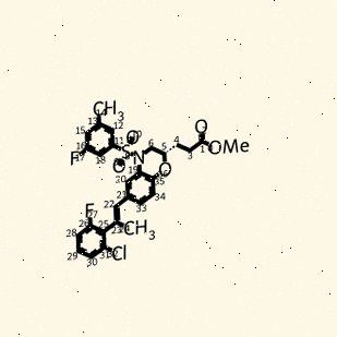 COC(=O)CC[C@H]1CN(S(=O)(=O)c2cc(C)cc(F)c2)c2cc(/C=C(\C)c3c(F)cccc3Cl)ccc2O1